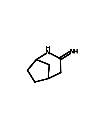 N=C1CC2CCC(C2)N1